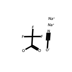 N#C[O-].O=C([O-])C(F)(F)F.[Na+].[Na+]